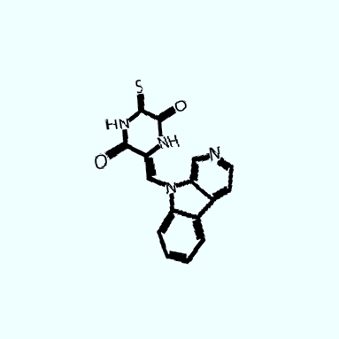 O=C1NC(=Cn2c3ccccc3c3ccncc32)C(=O)NC1=S